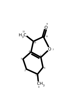 CC1CCC2=C(C1)OC(=O)C2C